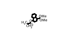 C=C(C)C(=O)Oc1ccc(C(OC)OC)c2ccccc12